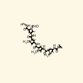 [CH2]CCNC(=O)c1cc(NC(=O)c2cc(NC(=O)c3cc(NC(=O)c4cc(NC(=O)N5CC5)cn4C)cn3C)cn2C)cn1C=O